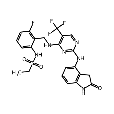 CCS(=O)(=O)Nc1cccc(F)c1CNc1nc(Nc2cccc3c2CC(=O)N3)ncc1C(F)(F)F